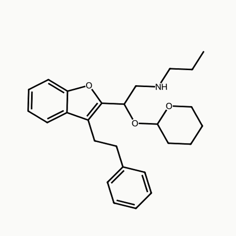 CCCNCC(OC1CCCCO1)c1oc2ccccc2c1CCc1ccccc1